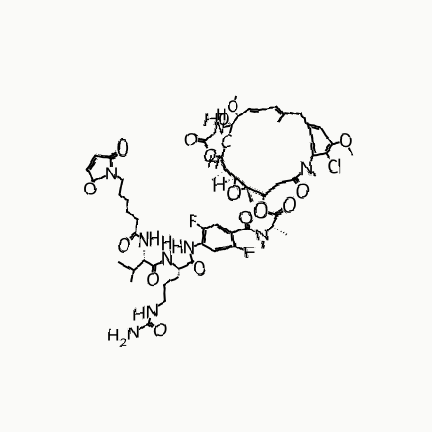 COc1cc2cc(c1Cl)N(C)C(=O)C[C@H](OC(=O)[C@H](C)N(C)C(=O)c1cc(F)c(NC(=O)[C@H](CCCNC(N)=O)NC(=O)[C@@H](NC(=O)CCCCCN3C(=O)C=CC3=O)C(C)C)cc1F)[C@]1(C)O[C@H]1[C@H](C)[C@@H]1C[C@@](O)(NC(=O)O1)[C@H](OC)/C=C/C=C(\C)C2